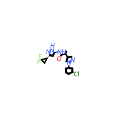 CC(C(=O)Nc1cc([C@@H]2CC2(F)F)n[nH]1)c1cnn(-c2cccc(Cl)c2)c1